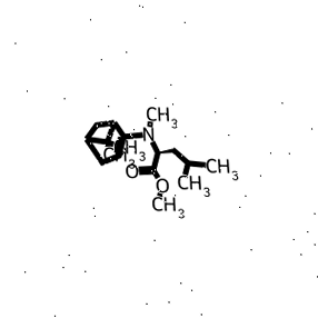 COC(=O)[C@H](CC(C)C)N(C)C1=CCC2CC1C2(C)C